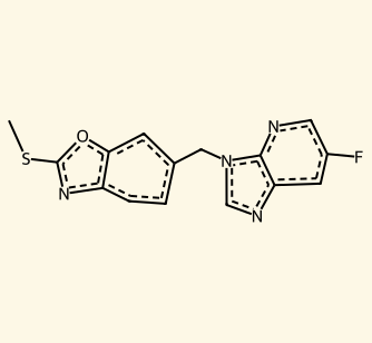 CSc1nc2ccc(Cn3cnc4cc(F)cnc43)cc2o1